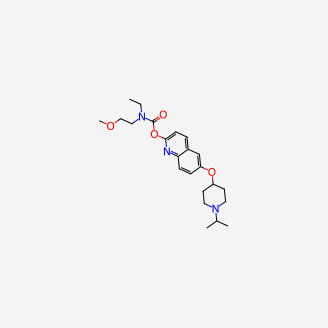 CCN(CCOC)C(=O)Oc1ccc2cc(OC3CCN(C(C)C)CC3)ccc2n1